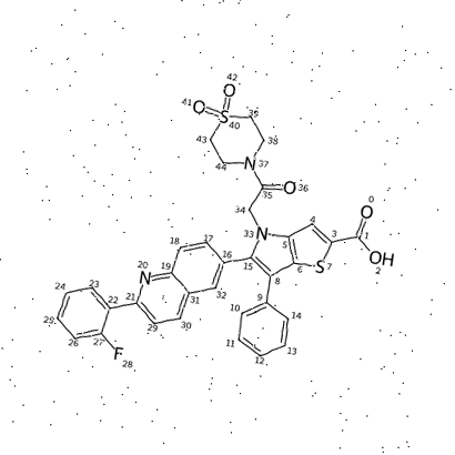 O=C(O)c1cc2c(s1)c(-c1ccccc1)c(-c1ccc3nc(-c4ccccc4F)ccc3c1)n2CC(=O)N1CCS(=O)(=O)CC1